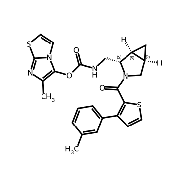 Cc1cccc(-c2ccsc2C(=O)N2C[C@@H]3C[C@@H]3[C@H]2CNC(=O)Oc2c(C)nc3sccn23)c1